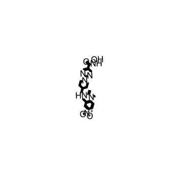 C=CN(C)c1ccc([N+](=O)[O-])cc1CNCC1CCN(c2ncc(C(=O)NO)cn2)CC1